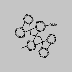 COc1ccc2c(c1)C1(CC3(c4ccccc4-c4ccccc43)c3ccc(C)cc31)CC21c2ccccc2-c2ccccc21